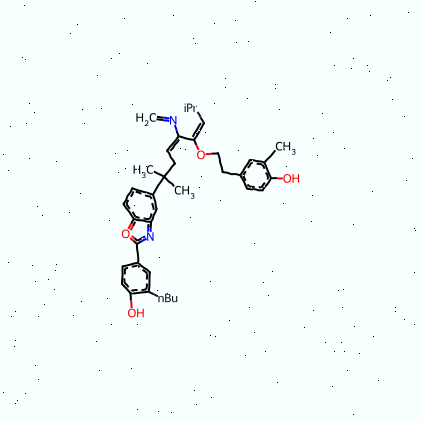 C=NC(=C/CC(C)(C)c1ccc2oc(-c3ccc(O)c(CCCC)c3)nc2c1)/C(=C\C(C)C)OCCc1ccc(O)c(C)c1